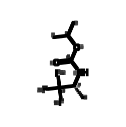 CC(C)OC(=O)N[C@H](C)C(F)(F)F